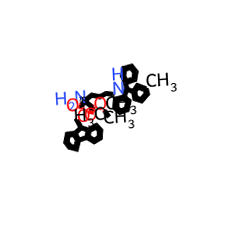 Cc1cccc(C(NCCCC[C@@](N)(C(=O)OCC2c3ccccc3-c3ccccc32)C(=O)OC(C)(C)C)(c2ccccc2)c2ccccc2)c1